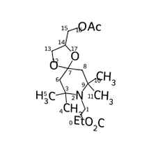 CCOC(=O)CN1C(C)(C)CC2(CC1(C)C)OCC(COC(C)=O)O2